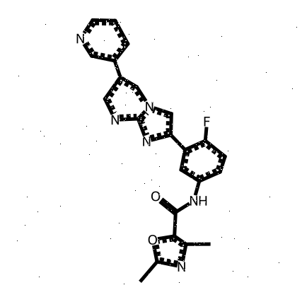 Cc1nc(C)c(C(=O)Nc2ccc(F)c(-c3cn4cc(-c5cccnc5)cnc4n3)c2)o1